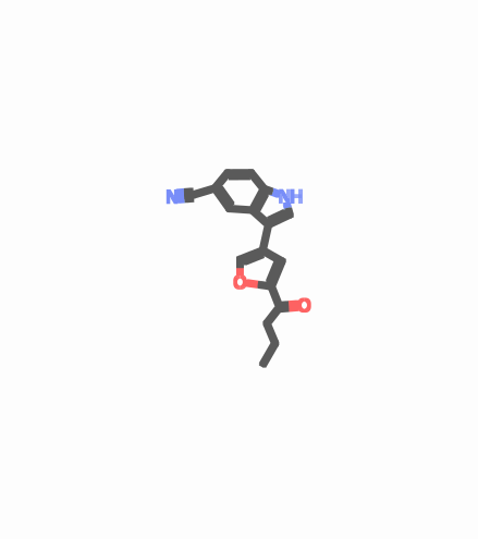 CCCC(=O)c1cc(-c2c[nH]c3ccc(C#N)cc23)co1